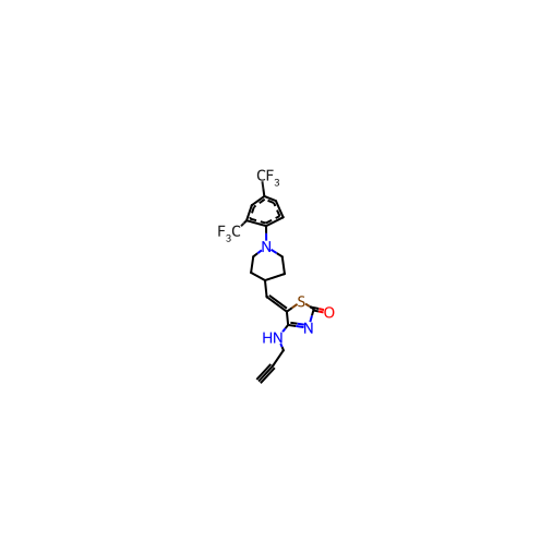 C#CCNC1=NC(=O)S/C1=C\C1CCN(c2ccc(C(F)(F)F)cc2C(F)(F)F)CC1